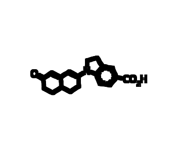 O=C1C=C2C=C(N3CCc4cc(C(=O)O)ccc43)CCC2CC1